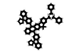 CC1(C)c2cc(-c3nc(-c4ccccc4)nc(-c4ccccc4)n3)ccc2-c2cc3c(-c4ccc5c(c4)C4(CCCC4)c4ccccc4-5)c4ccccc4c(-c4ccc5c(c4)C4(CCCC4)c4ccccc4-5)c3cc21